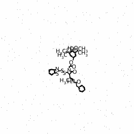 CC(=CNC(=O)Cc1ccccc1)C1C(=O)N(CC(=O)OCc2cc(C(C)(C)C)c(O)c(C(C)(C)C)c2)C1SSc1nc2ccccc2s1